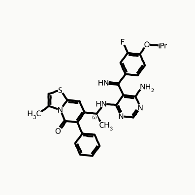 Cc1csc2cc([C@H](C)Nc3ncnc(N)c3C(=N)c3ccc(OC(C)C)c(F)c3)c(-c3ccccc3)c(=O)n12